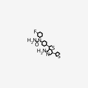 NC(=O)N(c1ccc(-c2csc3c(-c4ccsc4)cnc(N)c23)cc1)c1cccc(F)c1